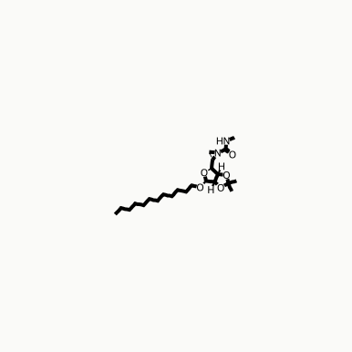 CCCCCCCCCCCCO[C@H]1O[C@H]([C@@H]2CN2C(=O)NC)[C@@H]2OC(C)(C)O[C@H]12